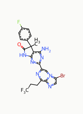 CC1(c2ccc(F)cc2)C(=O)Nc2nc(-c3cn4c(Br)cnc4c(CCC(F)(F)F)n3)nc(N)c21